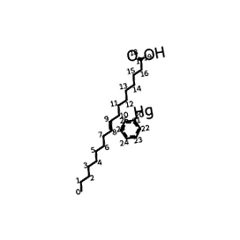 CCCCCCCCC=CCCCCCCCC(=O)O.[Hg][c]1ccccc1